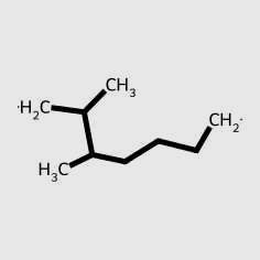 [CH2]CCCC(C)C([CH2])C